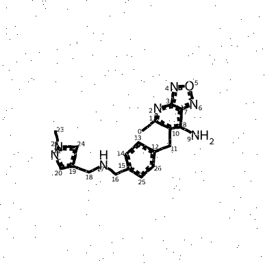 Cc1nc2nonc2c(N)c1Cc1ccc(CNCc2cnn(C)c2)cc1